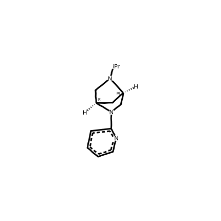 CC(C)N1C[C@H]2C[C@@H]1CN2c1ccccn1